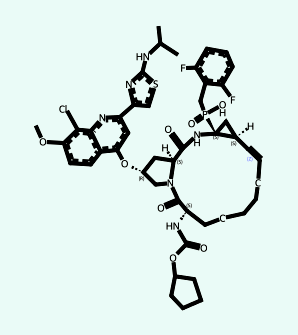 COc1ccc2c(O[C@@H]3C[C@H]4C(=O)N[C@]5(P(=O)(O)Cc6c(F)cccc6F)C[C@H]5/C=C\CCCCC[C@H](NC(=O)OC5CCCC5)C(=O)N4C3)cc(-c3csc(NC(C)C)n3)nc2c1Cl